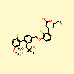 CCC[C@@H](CC(=O)O)c1cccc(OCc2ccc(-c3cc(OC)ccc3F)c([C@@H](C)C(C)(C)C)c2)c1F